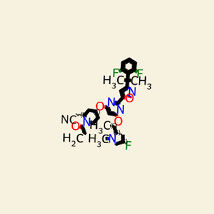 C=CC(=O)N1CC[C@H](Oc2cc(O[C@@H](C)[C@@H]3C[C@H](F)CN3C)nc(-c3cc(C(C)(C)c4c(F)cccc4F)no3)n2)C[C@H]1CC#N